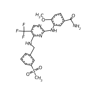 COc1ccc(C(N)=O)cc1Nc1ncc(C(F)(F)F)c(NCc2cccc(S(C)(=O)=O)c2)n1